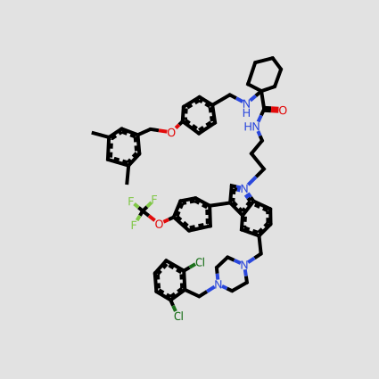 Cc1cc(C)cc(COc2ccc(CNC3(C(=O)NCCCn4cc(-c5ccc(OC(F)(F)F)cc5)c5cc(CN6CCN(Cc7c(Cl)cccc7Cl)CC6)ccc54)CCCCC3)cc2)c1